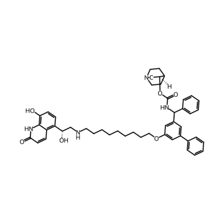 O=C(NC(c1ccccc1)c1cc(OCCCCCCCCCNC[C@H](O)c2ccc(O)c3[nH]c(=O)ccc23)cc(-c2ccccc2)c1)O[C@H]1CN2CCC1CC2